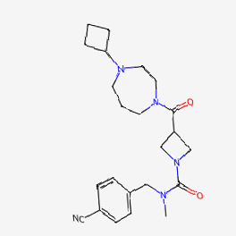 CN(Cc1ccc(C#N)cc1)C(=O)N1CC(C(=O)N2CCCN(C3CCC3)CC2)C1